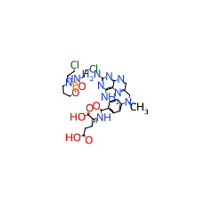 CN(Cc1cnc2nc(N)nc(N)c2n1)c1ccc(C(=O)N[C@@H](CCC(=O)O)C(=O)O)cc1.O=P1(NCCCl)OCCCN1CCCl